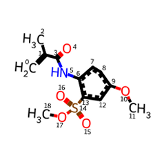 C=C(C)C(=O)Nc1ccc(OC)cc1S(=O)(=O)OC